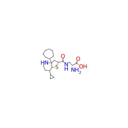 N[C@H](CNC(=O)C1CC2(C3CCCCCC3)NCCC(C3CC3)C2S1)C(=O)O